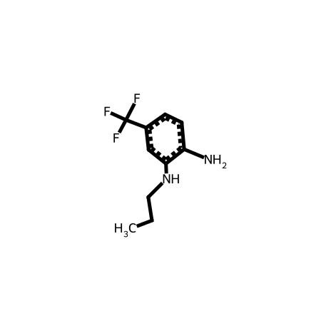 CCCNc1cc(C(F)(F)F)ccc1N